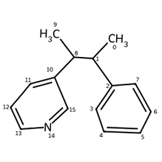 CC(c1ccccc1)C(C)c1cccnc1